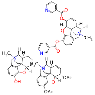 CC(=O)Oc1ccc2c3c1O[C@H]1[C@@H](OC(C)=O)C=C[C@H]4[C@@H](C2)N(C)CC[C@@]341.CN1CC[C@]23c4c5ccc(O)c4O[C@H]2CCC[C@H]3[C@H]1C5.CN1CC[C@]23c4c5ccc(OC(=O)c6cccnc6)c4O[C@H]2[C@@H](OC(=O)c2cccnc2)C=C[C@H]3[C@H]1C5